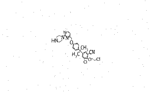 CC(C)(c1ccc(OCc2ccnc(N3CCNCC3)n2)cc1)c1cc(Cl)c(OCCCl)c(C#N)c1